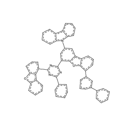 c1ccc(-c2cccc(-c3cccc4c3oc3c(-c5nc(-c6ccccc6)nc(-c6cccc7oc8ccccc8c67)n5)cc(-n5c6ccccc6c6ccccc65)cc34)c2)cc1